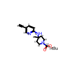 C#Cc1ccc(NC2(C)CCN(C(=O)OC(C)(C)C)CC2)nc1